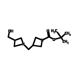 CC(C)(C)OC(=O)N1CC(CN2CC(CO)C2)C1